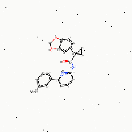 COc1cccc(-c2cccc(NC(=O)C3(c4ccc5c(c4)OCO5)CC3)n2)c1